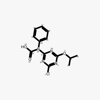 CC(C)Oc1nc(Cl)nc(N(C(=O)O)c2ccccc2)n1